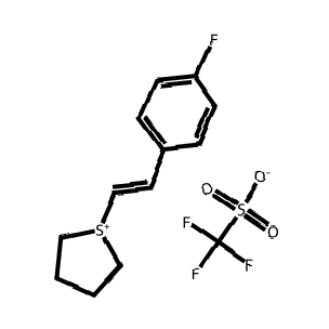 Fc1ccc(C=C[S+]2CCCC2)cc1.O=S(=O)([O-])C(F)(F)F